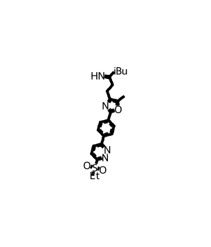 CCC(C)C(=N)CCc1nc(-c2ccc(-c3ccc(S(=O)(=O)CC)nn3)cc2)oc1C